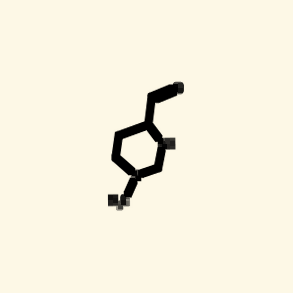 CN1CCC(C=O)NC1